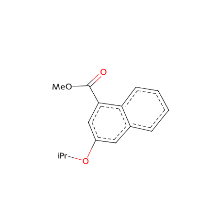 COC(=O)c1cc(OC(C)C)cc2ccccc12